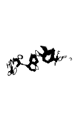 Cc1cc(C(F)(F)C(F)(F)F)ccc1Oc1ccc2c(c1)OCC[C@H]2C1OC(=O)NC1=O